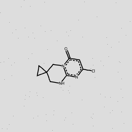 O=c1cc(Cl)nc2n1CC1(CC1)CN2